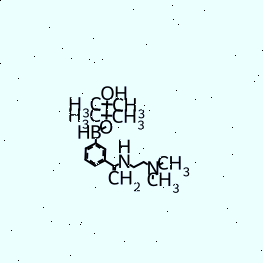 C=C(NCCN(C)C)c1cccc(BOC(C)(C)C(C)(C)O)c1